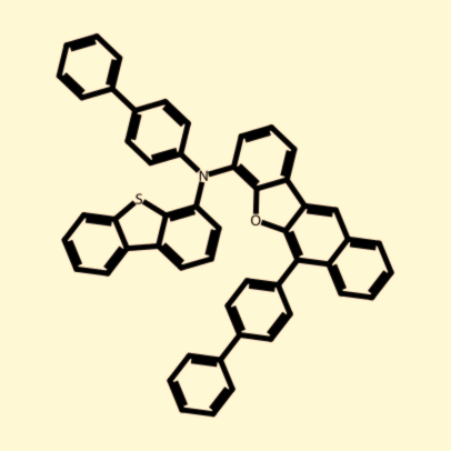 c1ccc(-c2ccc(-c3c4ccccc4cc4c3oc3c(N(c5ccc(-c6ccccc6)cc5)c5cccc6c5sc5ccccc56)cccc34)cc2)cc1